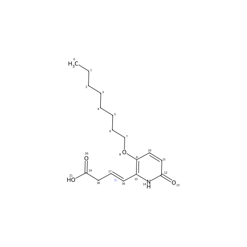 CCCCCCCCOc1ccc(=O)[nH]c1/C=C/CC(=O)O